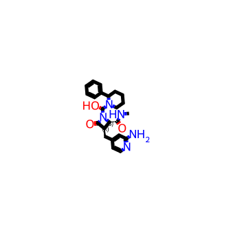 CNC(=O)[C@@H]1[C@@H](Cc2ccnc(N)c2)C(=O)N1C(O)N1CCCCC1c1ccccc1